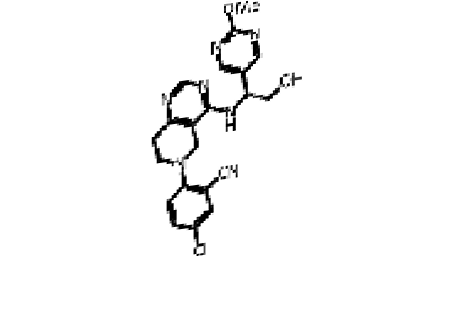 COc1ncc([C@@H](CO)Nc2ncnc3c2CN(c2ccc(Cl)cc2C#N)CC3)cn1